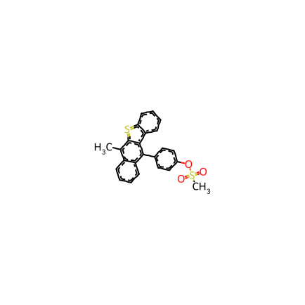 Cc1c2ccccc2c(-c2ccc(OS(C)(=O)=O)cc2)c2c1sc1ccccc12